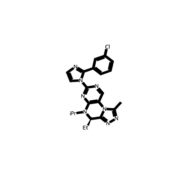 CC[C@@H]1c2nnc(C)n2-c2cnc(-n3ccnc3-c3cccc(Cl)c3)nc2N1C(C)C